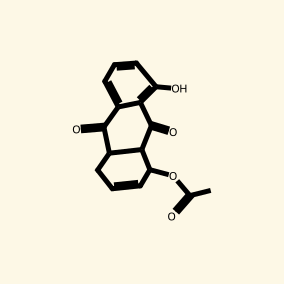 CC(=O)OC1C=CCC2C(=O)c3cccc(O)c3C(=O)C12